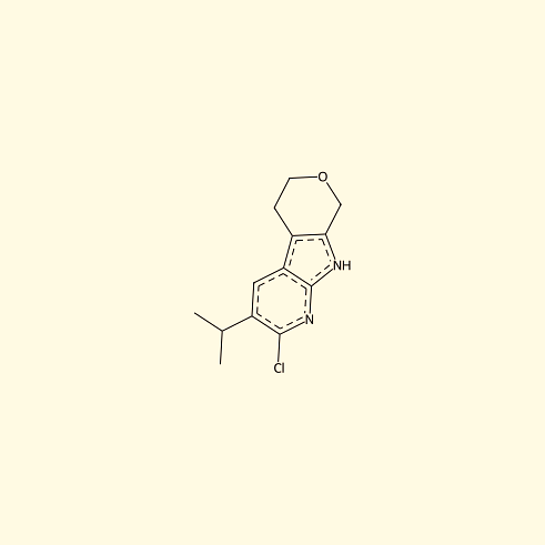 CC(C)c1cc2c3c([nH]c2nc1Cl)COCC3